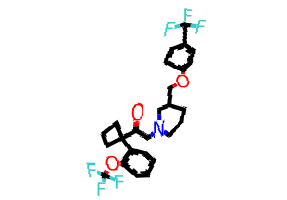 O=C(CN1CCCC(COc2ccc(C(F)(F)F)cc2)C1)C1(c2ccccc2OC(F)(F)F)CCC1